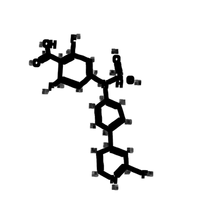 O=C(O)c1c(F)cc(N(c2ccc(-c3ccnc(F)c3)cc2)[SH](=O)=O)cc1F